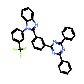 FC(F)(F)c1cccc(-n2c(-c3cccc(-c4nc(-c5ccccc5)nc(-c5ccccc5)n4)c3)nc3ccccc32)c1